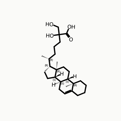 C[C@H](CCCC(O)(CO)C(=O)O)[C@H]1CC[C@H]2[C@@H]3CC=C4CCCC[C@]4(C)[C@H]3CC[C@]12C